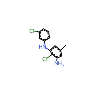 Cc1cc(N)c(Cl)c(Nc2cccc(Cl)c2)c1